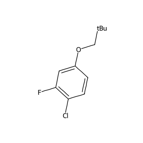 CC(C)(C)COc1ccc(Cl)c(F)c1